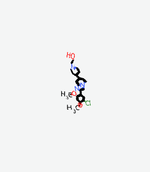 COc1cc(OC)c(-c2cn3ccc(C4=CCN(CCO)CC4)cc3n2)cc1Cl